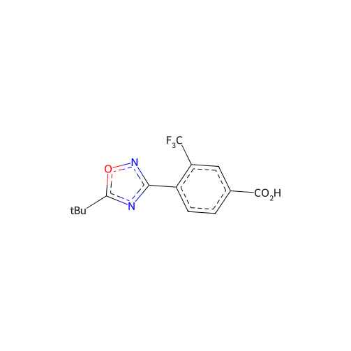 CC(C)(C)c1nc(-c2ccc(C(=O)O)cc2C(F)(F)F)no1